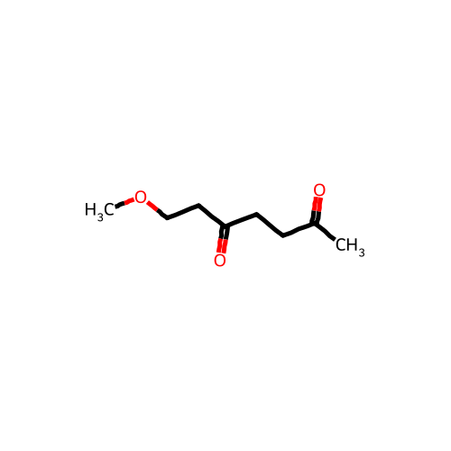 COCCC(=O)CCC(C)=O